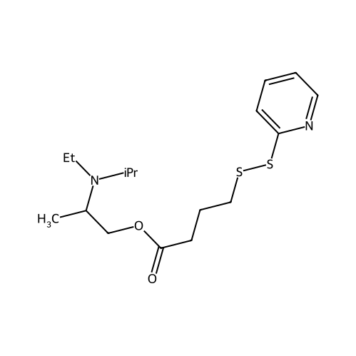 CCN(C(C)C)C(C)COC(=O)CCCSSc1ccccn1